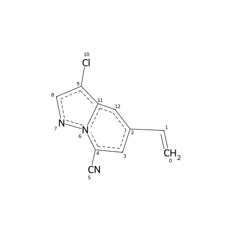 C=Cc1cc(C#N)n2ncc(Cl)c2c1